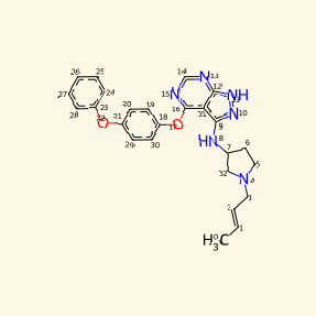 CC=CCN1CCC(Nc2n[nH]c3ncnc(Oc4ccc(Oc5ccccc5)cc4)c23)C1